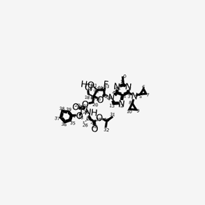 Cc1nc(N(C2CC2)C2CC2)c2ncn([C@@H]3O[C@](CCl)(CO[P@@](=O)(N[C@@H](C)C(=O)OC(C)C)Oc4ccccc4)[C@@H](O)[C@H]3F)c2n1